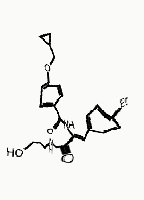 CCc1ccc(C=C(NC(=O)c2ccc(OCC3CC3)cc2)C(=O)NCCO)cc1